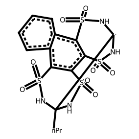 CCCC12NS(=O)(=O)c3c4c(c5ccccc5c3S(=O)(=O)N1)S(=O)(=O)N[C]2NS4(=O)=O